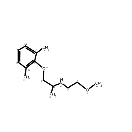 COCCNC(C)COc1c(C)cccc1C